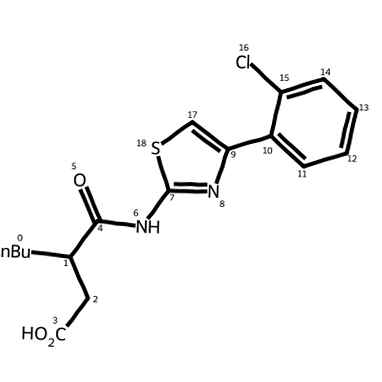 CCCCC(CC(=O)O)C(=O)Nc1nc(-c2ccccc2Cl)cs1